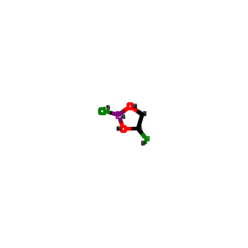 FC1COP(Cl)O1